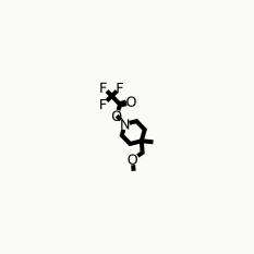 COCC1(C)CCN(OC(=O)C(F)(F)F)CC1